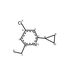 CCc1cc(Cl)cc(C2CC2)n1